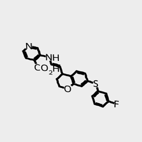 O=C(O)c1ccncc1N/C=C/C1CCOc2cc(Sc3cccc(F)c3)ccc21